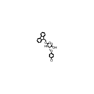 O=C(N[C@@H](COc1ccc(Cl)cc1)C(=O)O)OCC1c2ccccc2-c2ccccc21